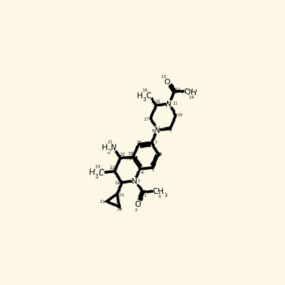 CC(=O)N1c2ccc(N3CCN(C(=O)O)C(C)C3)cc2C(N)C(C)C1C1CC1